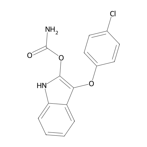 NC(=O)Oc1[nH]c2ccccc2c1Oc1ccc(Cl)cc1